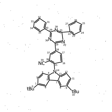 CC(C)(C)c1ccc2c(c1)c1cc(C(C)(C)C)ccc1n2-c1ccc(-c2nc(-c3ccccc3)nc(-c3ccccc3)n2)cc1C#N